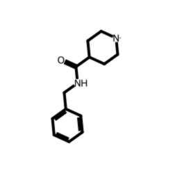 O=C(NCc1ccccc1)C1CC[N]CC1